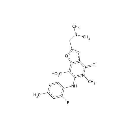 Cc1ccc(Nc2c(C(=O)O)c3oc(CN(C)C)cc3c(=O)n2C)c(F)c1